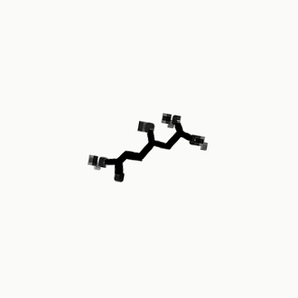 CC(=O)/C=C/C(O)CC(C)C